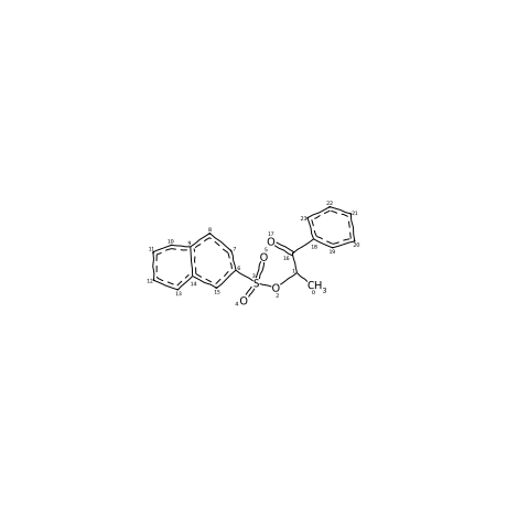 CC(OS(=O)(=O)c1ccc2ccccc2c1)C(=O)c1ccccc1